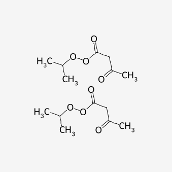 CC(=O)CC(=O)OOC(C)C.CC(=O)CC(=O)OOC(C)C